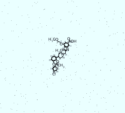 COCCOc1cc(C(=O)O)cc2nc(CN3CCC(c4cccc5c4O[C@@](C)(c4ccc(Cl)cn4)O5)CC3)n(C)c12